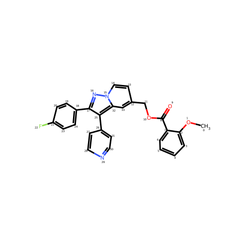 COc1ccccc1C(=O)OCc1ccn2nc(-c3ccc(F)cc3)c(-c3ccncc3)c2c1